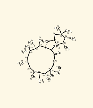 CC[C@H]1OC(=O)[C@H](C)[C@@H](O[C@H]2C[C@@](C)(OC)[C@@H](C)[C@H](C)O2)[C@H](C)[C@@H](C)[C@](C)(O)C[C@@H](C)CN(C)[C@H](C)[C@@H](O)[C@]1(C)O